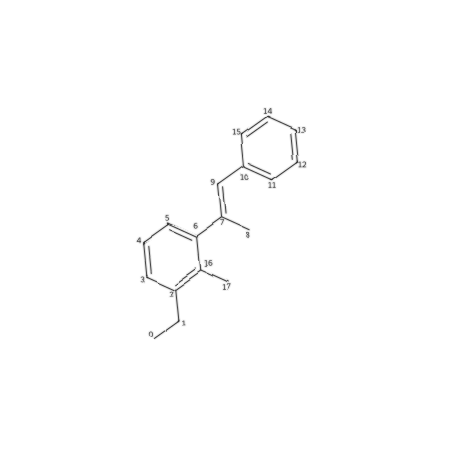 CCc1cccc(C(C)=Cc2ccccc2)c1C